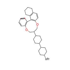 CCCC1CCC(C2CCC(C3COc4ccc5c(c4-c4c(ccc6c4CCCC6)OC3)CCCC5)CC2)CC1